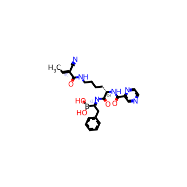 C/C=C(\C#N)C(=O)NCCCC[C@H](NC(=O)c1cnccn1)C(=O)/N=C(\Cc1ccccc1)B(O)O